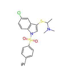 CC(C)c1ccc(S(=O)(=O)n2cc(SC(C)N(C)C)c3cc(Cl)ccc32)cc1